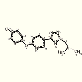 C[C@H](N)Cn1nnc(-c2ccc(Oc3ccc(Cl)cc3)nc2)n1